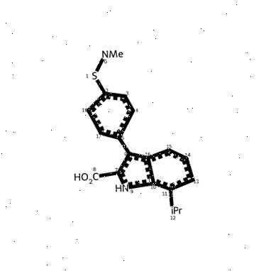 CNSc1ccc(-c2c(C(=O)O)[nH]c3c(C(C)C)cccc23)cc1